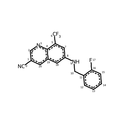 N#Cc1cnc2c(C(F)(F)F)cc(NCc3ccccc3F)cc2c1